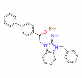 Br.N=c1n(CC(=O)c2ccc(-c3ccccc3)cc2)c2ccccc2n1Cc1ccccc1